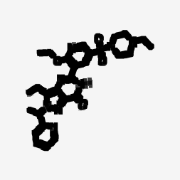 CCOc1ncc(S(=O)(=O)N2CCN(CC)CC2)cc1-c1nc2c(CC)n(C(C)c3ccccn3)nc2c(=O)[nH]1